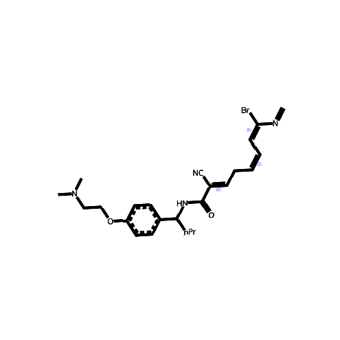 C=N/C(Br)=C\C=C/C/C=C(\C#N)C(=O)NC(CCC)c1ccc(OCCN(C)C)cc1